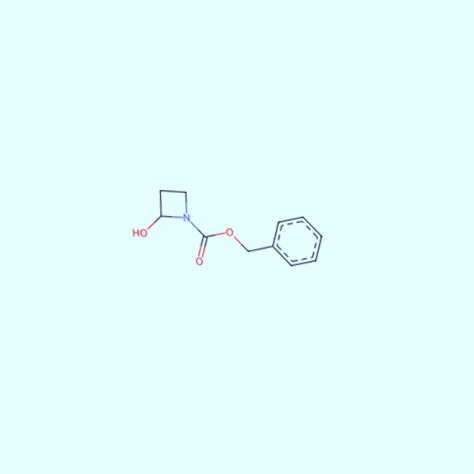 O=C(OCc1ccccc1)N1CCC1O